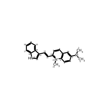 CN(C)c1ccc2c(ccc(/C=C/c3c[nH]c4ccccc34)[n+]2C)c1